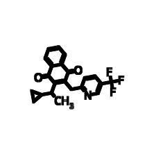 CC(C1=C(Cc2ccc(C(F)(F)F)cn2)C(=O)c2ccccc2C1=O)C1CC1